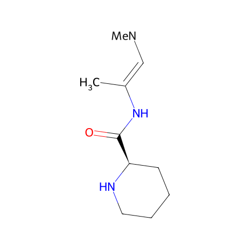 CN/C=C(\C)NC(=O)[C@H]1CCCCN1